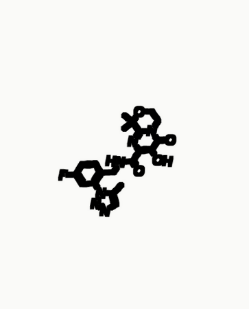 Cc1cnnn1-c1cc(F)ccc1CNC(=O)c1nc2n(c(=O)c1O)CCOC2(C)C